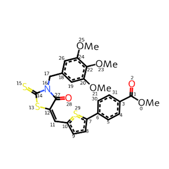 COC(=O)c1ccc(-c2ccc(C=C3SC(=S)N(Cc4cc(OC)c(OC)c(OC)c4)C3=O)s2)cc1